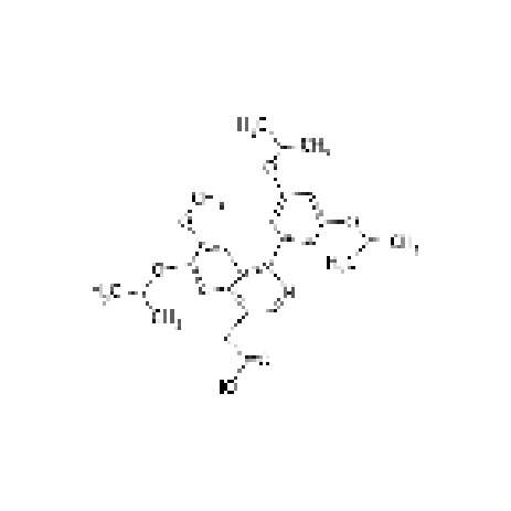 COc1cc2c(-c3cc(OC(C)C)cc(OC(C)C)c3)ncc(CC(=O)O)c2cc1OC(C)C